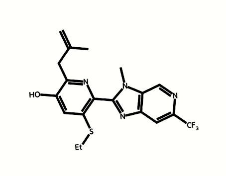 C=C(C)Cc1nc(-c2nc3cc(C(F)(F)F)ncc3n2C)c(SCC)cc1O